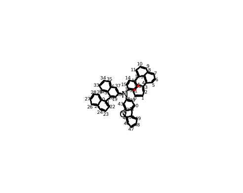 c1ccc(-c2cccc3cccc(-c4ccc(N(c5cc(-c6cccc7ccccc67)c6ccccc6c5)c5ccc6c(c5)oc5ccccc56)cc4)c23)cc1